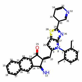 Cc1cccc(C)c1-n1c(/C=C2/C(=N)c3cc4ccccc4cc3C2=O)cc2sc(C3C=NC=CC3)nc21